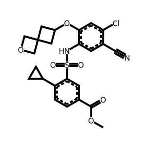 COC(=O)c1ccc(C2CC2)c(S(=O)(=O)Nc2cc(C#N)c(Cl)cc2OC2CC3(COC3)C2)c1